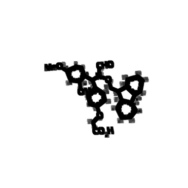 COc1ccc(C(c2ccc(OCC(=O)O)cc2)N(C=O)OCC2c3ccccc3-c3ccccc32)c(OC)c1